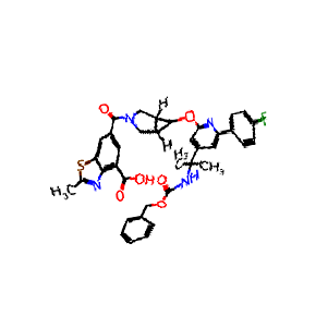 Cc1nc2c(C(=O)O)cc(C(=O)N3C[C@@H]4C(Oc5cc(C(C)(C)NC(=O)OCc6ccccc6)cc(-c6ccc(F)cc6)n5)[C@@H]4C3)cc2s1